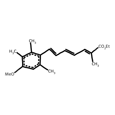 CCOC(=O)C(C)=CC=CC=Cc1c(C)cc(OC)c(C)c1C